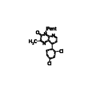 CCC[C@H](C)n1c(=O)c(C)nc2c(-c3ccc(Cl)cc3Cl)ccnc21